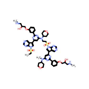 CCS(=O)(=O)n1cc(-c2cc(N(CCS(=O)(=O)n3cc(-c4cc(N(C)C5CCOCC5)nc(-c5cccc(OCC(O)CNC)c5)n4)c4cncnc43)C3CCOCC3)nc(-c3cccc(OCC(O)CNC)c3)n2)c2cncnc21